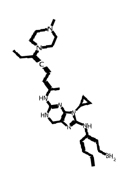 BC/C=C(\C=C/C=C)Nc1nc2c(n1C1CC1)N=C(N/C(C)=C/C=C=C(CC)N1CCN(C)CC1)NC2